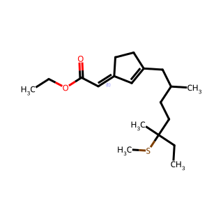 CCOC(=O)/C=C1/C=C(CC(C)CCC(C)(CC)SC)CC1